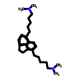 CN(C)CCCCCc1ccc2c(CCCCCN(C)C)ccc3c2c1CC3